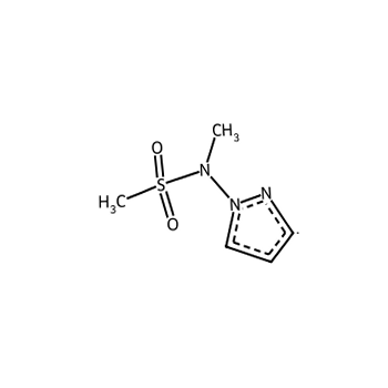 CN(n1cc[c]n1)S(C)(=O)=O